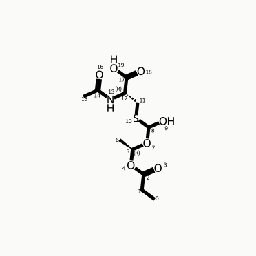 CCC(=O)O[C@@H](C)OC(O)SC[C@H](NC(C)=O)C(=O)O